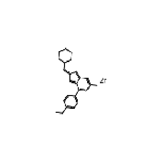 CCc1ccc(-c2cc(C)cc3c2=CC(=CC2CCCCC2)[C]=3)cc1.[Zr]